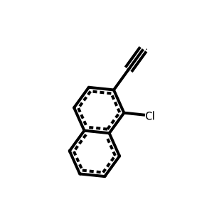 [C]#Cc1ccc2ccccc2c1Cl